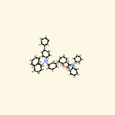 c1ccc(-c2ccc(N(c3cccc(-c4cccc5c4oc4c6ccccc6n(-c6ccccc6)c54)c3)c3cccc4ccccc34)cc2)cc1